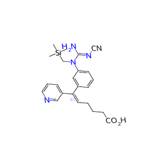 C[Si](C)(C)CN(C(N)=NC#N)c1cccc(/C(=C\CCCC(=O)O)c2cccnc2)c1